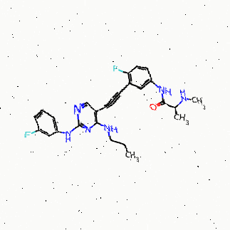 CCCNc1nc(Nc2cccc(F)c2)ncc1C#Cc1cc(NC(=O)[C@H](C)NC)ccc1F